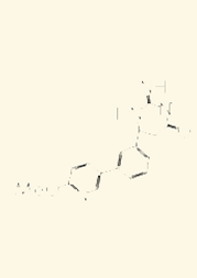 COc1ccc(-c2cccc([C@]3(C)CC(=O)N(C)C(=N)N3)c2)cn1